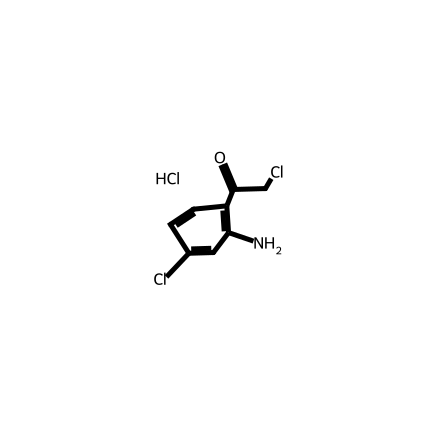 Cl.Nc1cc(Cl)ccc1C(=O)CCl